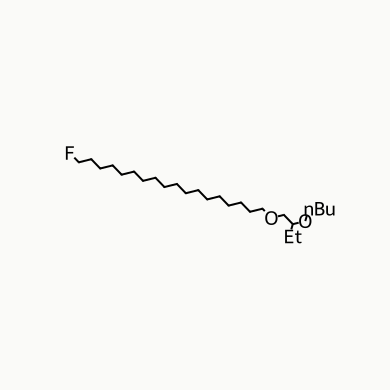 CCCCOC(CC)COCCCCCCCCCCCCCCCCCCF